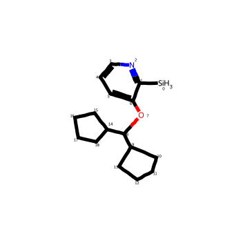 [SiH3]c1ncccc1OC(C1CCCC1)C1CCCC1